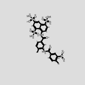 Cc1ccc(C(=O)Nc2ccc(S(=O)(=O)O)c3cc(S(=O)(=O)O)cc(S(=O)(=O)O)c23)cc1NC(=O)c1ccc(C)c([N+](=O)[O-])c1